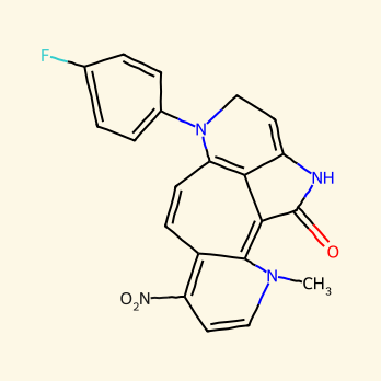 CN1C=CC([N+](=O)[O-])=c2ccc3c4c([nH]c(=O)c-4c21)=CCN3c1ccc(F)cc1